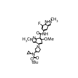 COc1cc(N2CC[C@@H](N(C(=O)OC(C)(C)C)C3CC3)C2)c2cn(C)nc2c1C(=O)Nc1cc(F)c2nn(C)cc2c1